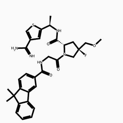 COC[C@@]1(F)C[C@@H](C(=O)N[C@H](C)c2cc(C(=N)N)cs2)N(C(=O)CNC(=O)c2ccc3c(c2)-c2ccccc2C3(C)C)C1